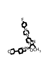 CCc1nc2cc(N3CCN(c4ccc(F)cc4)CC3)ccn2c1C(=O)NCc1ccc(C2CCOCC2)cc1